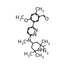 COc1cc(C)c(C=O)cc1-c1ccc(N(C)C2CC(C)(C)NC(C)(C)C2)nn1